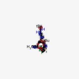 Cc1c(Cl)c2c(Cl)c(C)c1-c1c(-c3ccc(F)cc3)sc3ncnc(c13)O[C@@H](C(=O)OC(C)(C)C)Cc1cc(ccc1OCc1ccnc(-c3ccc(NCCNC(=O)OC(C)(C)C)nc3)n1)OC[C@@H](CN1CCN(C)CC1)O2